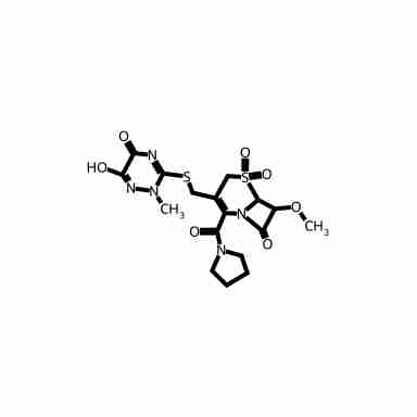 COC1C(=O)N2C(C(=O)N3CCCC3)=C(CSc3nc(=O)c(O)nn3C)CS(=O)(=O)C12